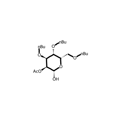 CCCCOC[C@@H]1O[C@H](O)[C@@H](OC(C)=O)[C@@H](OCCCC)[C@@H]1OCCCC